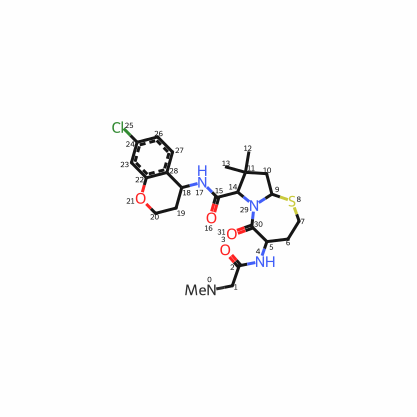 CNCC(=O)NC1CCSC2CC(C)(C)C(C(=O)NC3CCOc4cc(Cl)ccc43)N2C1=O